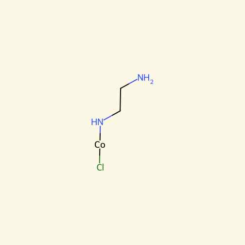 NCC[NH][Co][Cl]